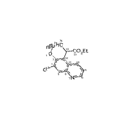 CCCCOc1c(Cl)cc2ncccc2c1C(O)C(=O)OCC